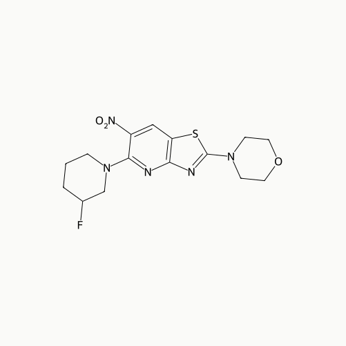 O=[N+]([O-])c1cc2sc(N3CCOCC3)nc2nc1N1CCCC(F)C1